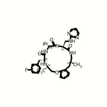 CC(C)[C@H]1NC(=O)[C@@H](Cc2cccc(F)c2)N[C@@H](C)COc2ccccc2C[C@H](C)CNC(=O)[C@H](CNc2ncccn2)NC1=O